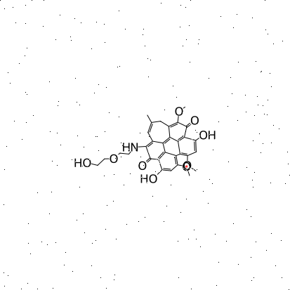 COc1c2c3c4c(c(NCCOCCO)c(=O)c5c(O)cc(OC)c(c6c(OC)cc(O)c(c1=O)c63)c54)C=C(C)C2